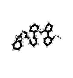 Cc1ccccc1-c1ccccc1C[n+]1ccccc1-c1cccc[n+]1-c1csc2oc3ccccc3[n+]12